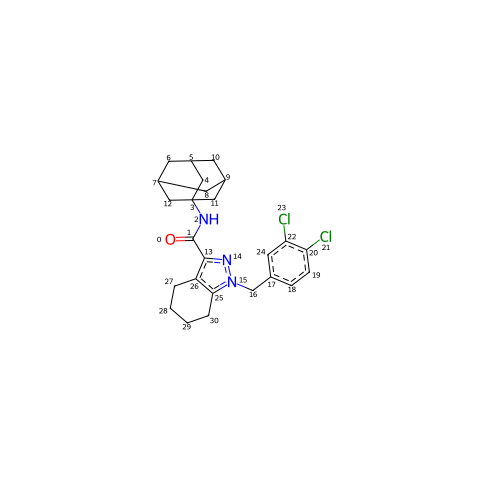 O=C(NC12CC3CC(CC(C3)C1)C2)c1nn(Cc2ccc(Cl)c(Cl)c2)c2c1CCCC2